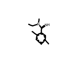 CCN(C)C(=N)c1cc(C)ccc1C